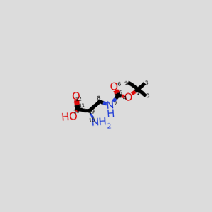 CC(C)(C)OC(=O)NC[C@@H](N)C(=O)O